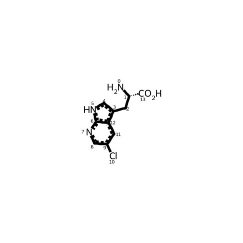 N[C@@H](Cc1c[nH]c2ncc(Cl)cc12)C(=O)O